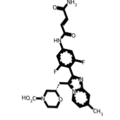 Cc1ccn2c(C[C@H]3CN(C(=O)O)CCO3)c(-c3c(F)cc(NC(=O)/C=C/C(N)=O)cc3F)nc2c1